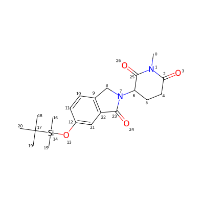 CN1C(=O)CCC(N2Cc3ccc(O[Si](C)(C)C(C)(C)C)cc3C2=O)C1=O